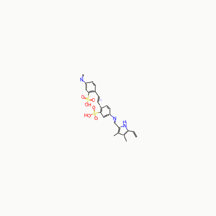 C=Cc1[nH]c(C=Nc2ccc(/C=C/c3ccc(N=C)cc3S(=O)(=O)O)c(S(=O)(=O)O)c2)c(C)c1C